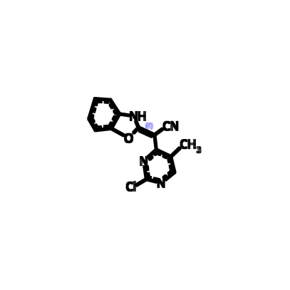 Cc1cnc(Cl)nc1/C(C#N)=C1/Nc2ccccc2O1